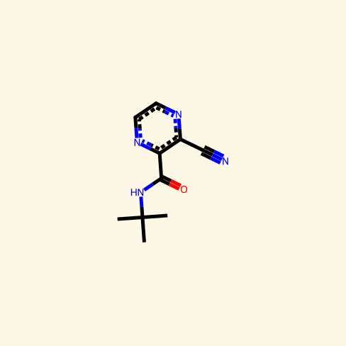 CC(C)(C)NC(=O)c1nccnc1C#N